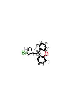 O=C(O)C1(CCCBr)c2ccccc2Oc2ccccc21